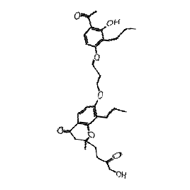 CCCc1c(OCCCOc2ccc3c(c2CCC)OC(C)(CCC(=O)CO)CC3=O)ccc(C(C)=O)c1O